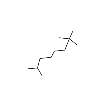 [CH2]C(C)(C)CCCCC(C)C